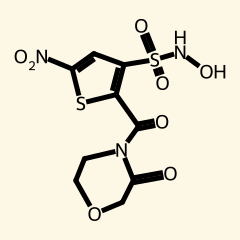 O=C1COCCN1C(=O)c1sc([N+](=O)[O-])cc1S(=O)(=O)NO